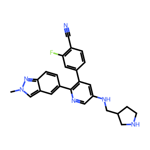 Cn1cc2cc(-c3ncc(NCC4CCNC4)cc3-c3ccc(C#N)c(F)c3)ccc2n1